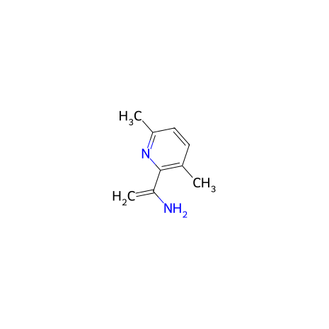 C=C(N)c1nc(C)ccc1C